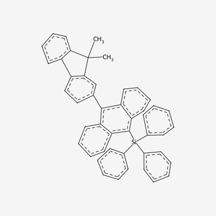 CC1(C)c2ccccc2-c2ccc(-c3c4ccccc4c([Si](c4ccccc4)(c4ccccc4)c4ccccc4)c4ccccc34)cc21